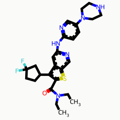 CCN(CC)C(=O)c1sc2cnc(Nc3ccc(N4CCNCC4)cn3)cc2c1C1CCC(F)(F)C1